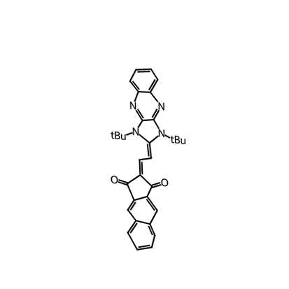 CC(C)(C)N1C(=CC=C2C(=O)c3cc4ccccc4cc3C2=O)N(C(C)(C)C)c2nc3ccccc3nc21